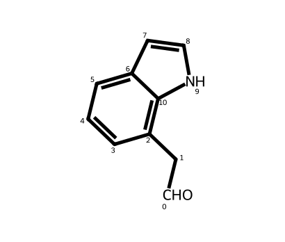 O=CCc1cccc2cc[nH]c12